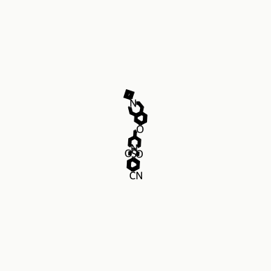 N#Cc1ccc(S(=O)(=O)N2CCC(COc3ccc4c(c3)CCN(C3=CC=C3)CC4)CC2)cc1